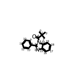 CC(C)(C)C(=O)n1c(-c2ccccc2)nc2ccccc21